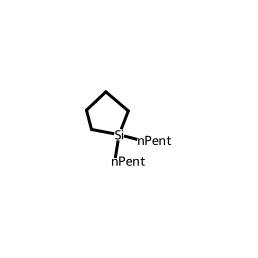 CCCCC[Si]1(CCCCC)CCCC1